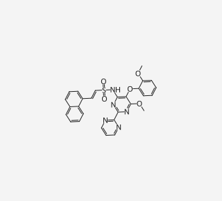 COc1ccccc1Oc1c(NS(=O)(=O)/C=C/c2cccc3ccccc23)nc(-c2ncccn2)nc1OC